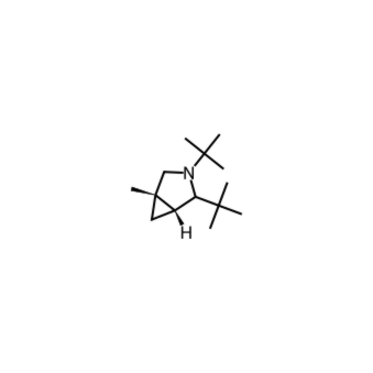 CC(C)(C)C1[C@@H]2C[C@]2(C)CN1C(C)(C)C